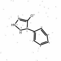 ClC1=NNNN1c1ccccc1